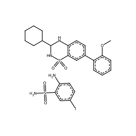 COc1ccccc1-c1ccc2c(c1)S(=O)(=O)NC(C1CCCCC1)N2.Nc1ccc(I)cc1S(N)(=O)=O